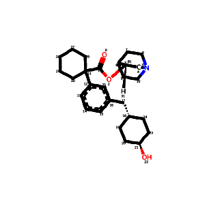 O=C(O[C@H]1CN2CCC1CC2)C1(c2cccc(C[C@H]3CC[C@H](O)CC3)c2)CCCCC1